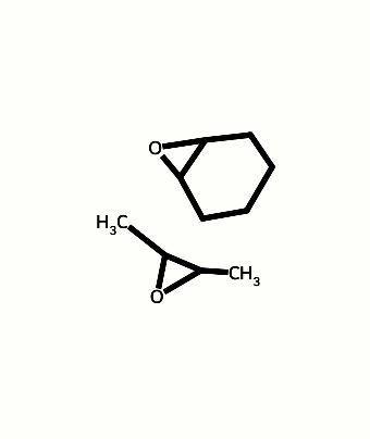 C1CCC2OC2C1.CC1OC1C